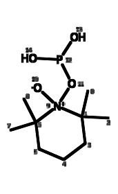 CC1(C)CCCC(C)(C)[N+]1([O])OP(O)O